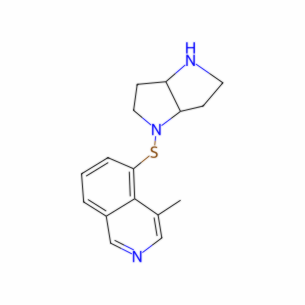 Cc1cncc2cccc(SN3CCC4NCCC43)c12